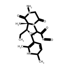 CC[C@H](C)[C@]1(N)C(=O)N(N)CC(=O)N1C(CC1=C(C)NC(C)C=C1)C(=O)N=O